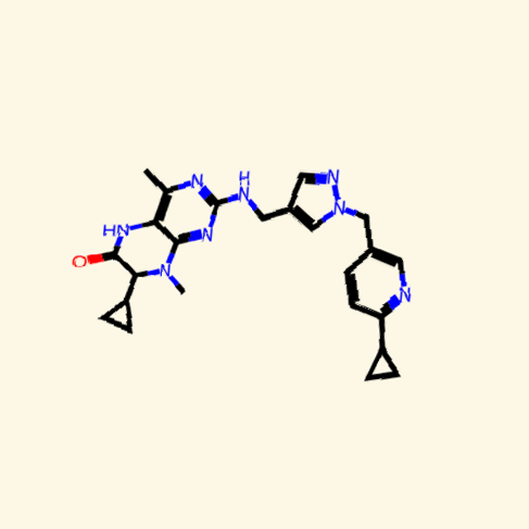 Cc1nc(NCc2cnn(Cc3ccc(C4CC4)nc3)c2)nc2c1NC(=O)C(C1CC1)N2C